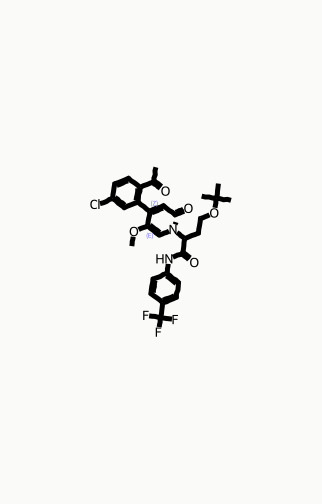 COC(=C/N(C)C(CCOC(C)(C)C)C(=O)Nc1ccc(C(F)(F)F)cc1)/C(=C\C=O)c1cc(Cl)ccc1C(C)=O